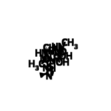 CCNC(=O)N[C@H]1CC(Nc2nc(N[C@H](C)C3CC3)nc(C)c2-c2nc3c(C4CC4)nccc3s2)[C@H](O)[C@@H]1O